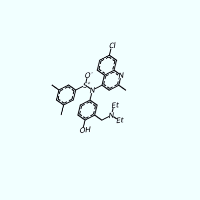 CCN(CC)Cc1cc(N(c2cc(C)nc3cc(Cl)ccc23)[S+]([O-])c2cc(C)cc(C)c2)ccc1O